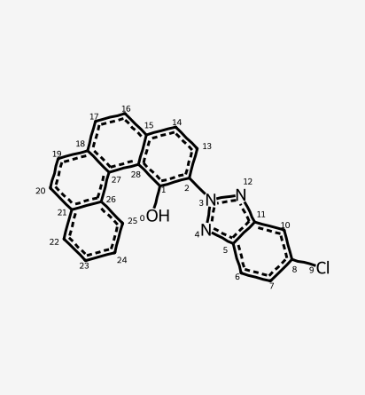 Oc1c(-n2nc3ccc(Cl)cc3n2)ccc2ccc3ccc4ccccc4c3c12